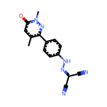 Cc1cc(=O)n(C)nc1-c1ccc(NN=C(C#N)C#N)cc1